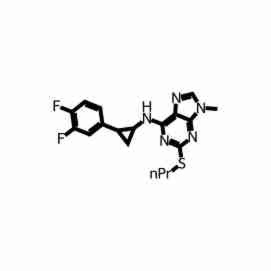 CCCSc1nc(NC2CC2c2ccc(F)c(F)c2)c2ncn(C)c2n1